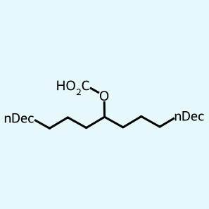 CCCCCCCCCCCCCC(CCCCCCCCCCCCC)OC(=O)O